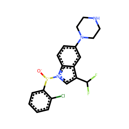 [O-][S+](c1ccccc1Cl)n1cc(C(F)F)c2cc(N3CCNCC3)ccc21